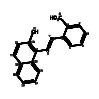 O=C(O)c1ccccc1N=Nc1c(O)ccc2ccccc12